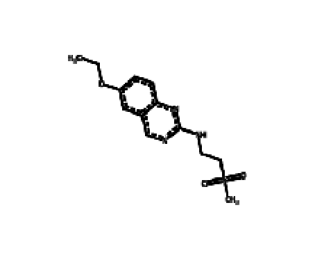 CCOc1ccc2nc(NCCS(C)(=O)=O)ncc2c1